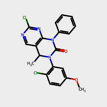 COc1ccc(Cl)c(N2C(=O)N(c3ccccc3)c3nc(Cl)ncc3C2C)c1